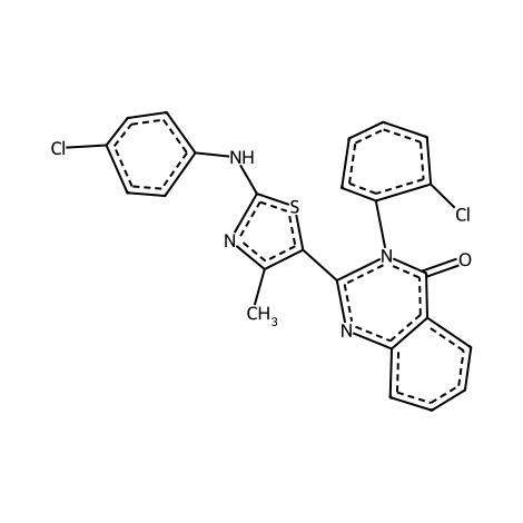 Cc1nc(Nc2ccc(Cl)cc2)sc1-c1nc2ccccc2c(=O)n1-c1ccccc1Cl